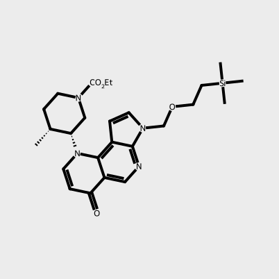 CCOC(=O)N1CC[C@@H](C)[C@@H](n2ccc(=O)c3cnc4c(ccn4COCC[Si](C)(C)C)c32)C1